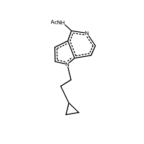 CC(=O)Nc1nccc2c1ccn2CCC1CC1